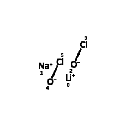 [Li+].[Na+].[O-]Cl.[O-]Cl